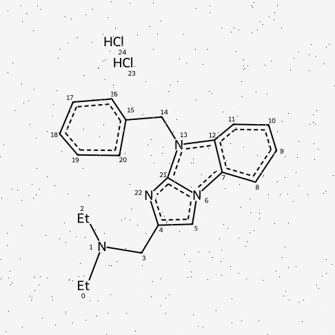 CCN(CC)Cc1cn2c3ccccc3n(Cc3ccccc3)c2n1.Cl.Cl